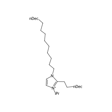 CCCCCCCCCCCCCCCCCCCn1cc[n+](C(C)C)c1CCCCCCCCCCCC